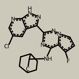 Fc1ccn2nc(-c3n[nH]c4ncc(Cl)cc34)nc(NC3CC4CCC3CC4)c12